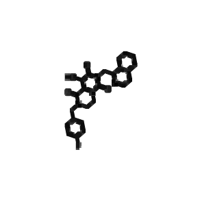 O=C1c2c(O)c(=O)n(Cc3nccc4ccccc34)c(=O)n2CCN1Cc1ccc(F)cc1